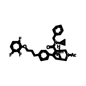 CC(=O)N1CC2CC(c3ccc(CCCOc4c(F)ccc(F)c4F)cc3)=C(C(=O)N(Cc3ccccc3)C3CC3)[C@@H](C1)N2